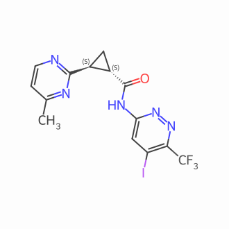 Cc1ccnc([C@H]2C[C@@H]2C(=O)Nc2cc(I)c(C(F)(F)F)nn2)n1